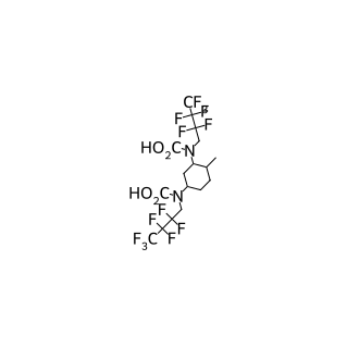 CC1CCC(N(CC(F)(F)C(F)(F)C(F)(F)F)C(=O)O)CC1N(CC(F)(F)C(F)(F)C(F)(F)F)C(=O)O